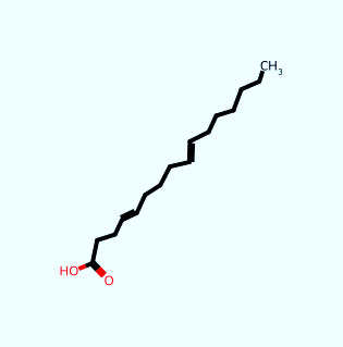 CCCCCCC=CCCCC=CCCC(=O)O